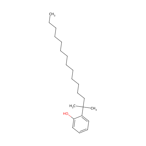 CCCCCCCCCCCCCC(C)(C)c1ccccc1O